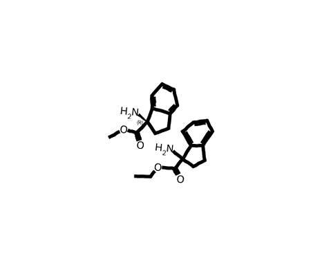 CCOC(=O)C1(N)CCc2ccccc21.COC(=O)[C@@]1(N)CCc2ccccc21